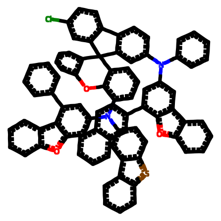 Clc1ccc2c(c1)C1(c3ccccc3Oc3c(N(c4cc(-c5ccccc5)c5c(c4)oc4ccccc45)c4ccc5sc6ccccc6c5c4)cccc31)c1cc(N(c3ccccc3)c3cc(-c4ccc5ccccc5c4)c4oc5ccccc5c4c3)ccc1-2